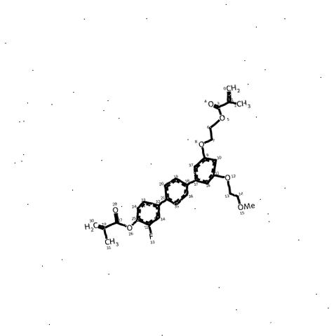 C=C(C)C(=O)OCCOc1cc(OCCOC)cc(-c2ccc(-c3ccc(OC(=O)C(=C)C)c(F)c3)cc2)c1